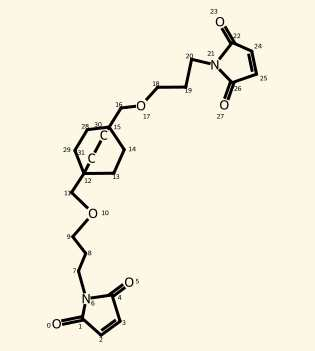 O=C1C=CC(=O)N1CCCOCC12CCC(COCCCN3C(=O)C=CC3=O)(CC1)CC2